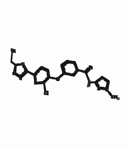 Cn1ccc(NC(=O)c2cccc(Oc3ccc(-c4noc(CO)n4)cc3Cl)c2)n1